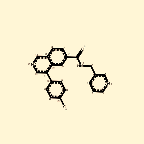 O=C(NCc1cccnc1)c1ccc2cncc(-c3ccc(Cl)cc3)c2c1